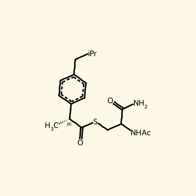 CC(=O)NC(CSC(=O)[C@H](C)c1ccc(CC(C)C)cc1)C(N)=O